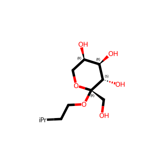 CC(C)CCO[C@]1(CO)OC[C@@H](O)[C@@H](O)[C@@H]1O